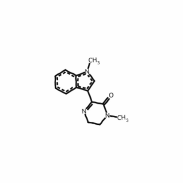 CN1CCN=C(c2cn(C)c3ccccc23)C1=O